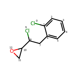 Clc1ccccc1CC(Cl)C1CO1